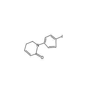 O=C1C=CCCN1c1ccc(I)cc1